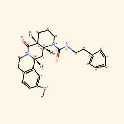 COc1ccc2c(c1)[C@H]1C[C@@H]3[C@@H](CCCN3C(=O)NCCc3ccccc3)C(=O)N1CC2